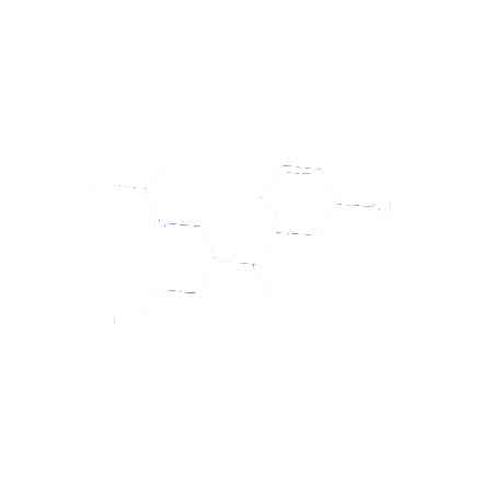 CCCN(CNC(C)C)C(=O)c1c[c]cc(N)c1